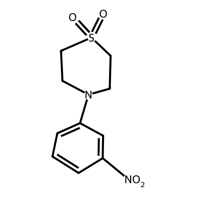 O=[N+]([O-])c1cccc(N2CCS(=O)(=O)CC2)c1